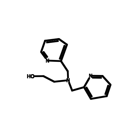 OCCN(Cc1ccccn1)Cc1ccccn1